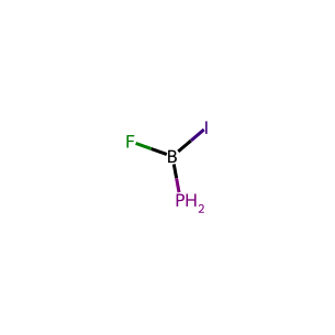 FB(P)I